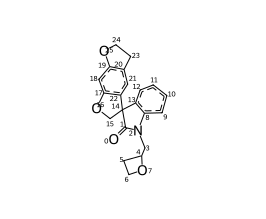 O=C1N(CC2CCO2)c2ccccc2C12COc1cc3c(cc12)CCO3